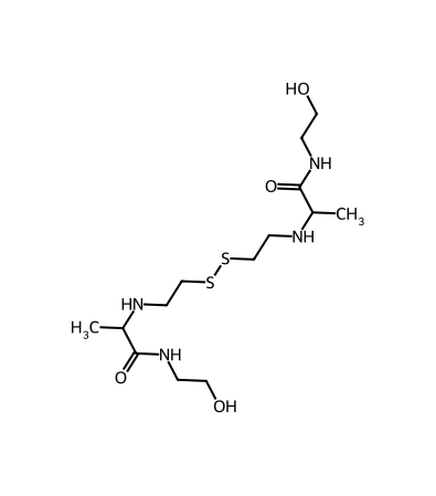 CC(NCCSSCCNC(C)C(=O)NCCO)C(=O)NCCO